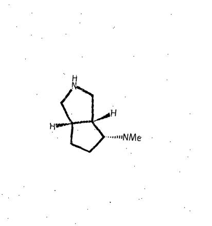 CN[C@@H]1CC[C@@H]2CNC[C@@H]21